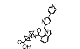 O=C(NC1(C23CC2(C(=O)O)C3)CC1)c1cccc2ccn(CC3CC=C(c4ccncc4)C=N3)c12